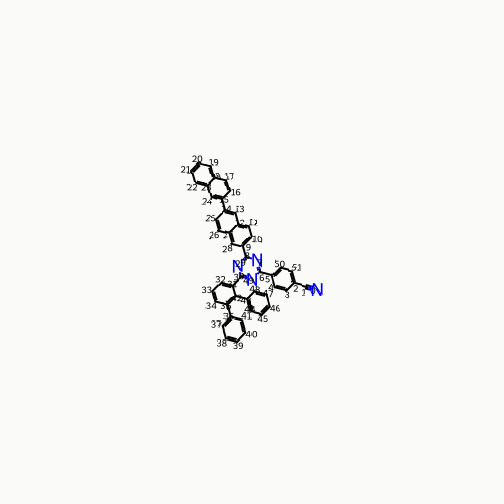 N#Cc1ccc(-c2nc(-c3ccc4cc(-c5ccc6ccccc6c5)ccc4c3)nc(-c3cccc(-c4ccccc4)c3-c3ccccc3)n2)cc1